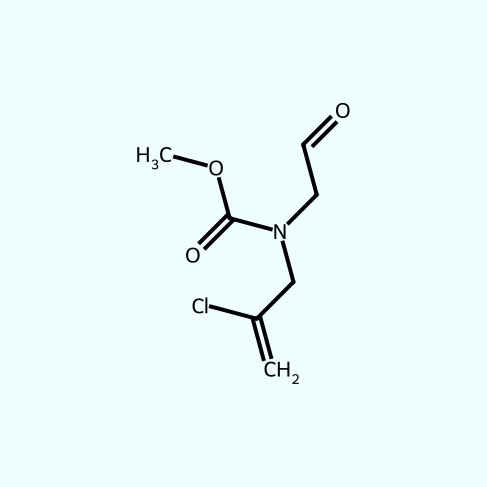 C=C(Cl)CN(CC=O)C(=O)OC